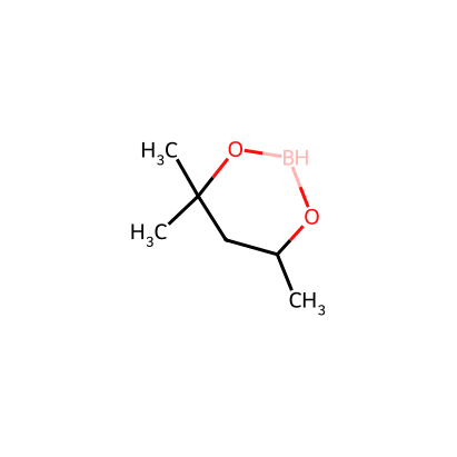 CC1CC(C)(C)OBO1